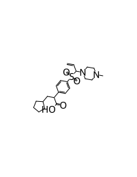 C=CC(N1CCN(C)CC1)S(=O)(=O)c1ccc(C(CC2CCCC2)C(=O)O)cc1